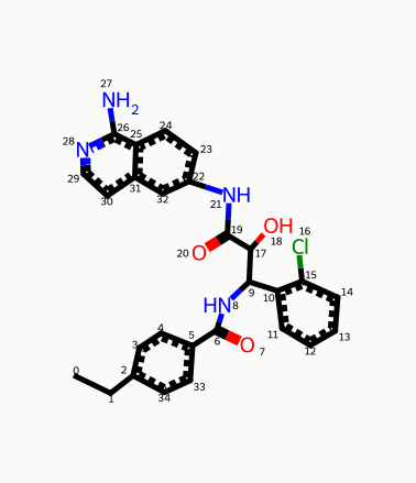 CCc1ccc(C(=O)NC(c2ccccc2Cl)C(O)C(=O)Nc2ccc3c(N)nccc3c2)cc1